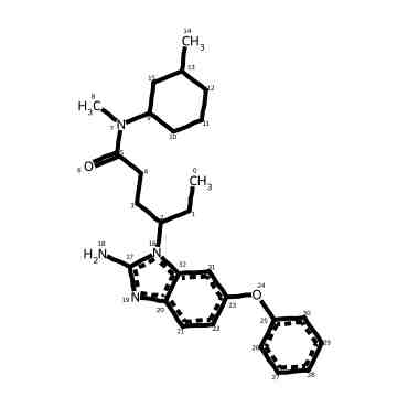 CCC(CCC(=O)N(C)C1CCCC(C)C1)n1c(N)nc2ccc(Oc3ccccc3)cc21